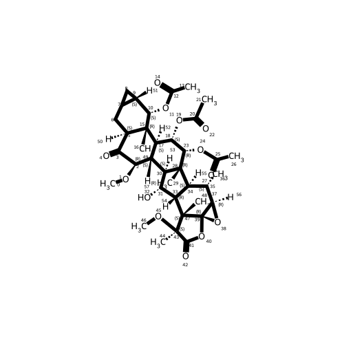 CO[C@H]1C(=O)[C@H]2CC3C[C@@H]3[C@H](OC(C)=O)[C@]2(C)[C@H]2[C@H](OC(C)=O)[C@H](OC(C)=O)[C@@]3(C)[C@@H]([C@@H](O)[C@@H]4[C@@H]3[C@H](C)[C@H]3O[C@]35OC(=O)[C@@](C)(OC)[C@]45C)[C@@H]21